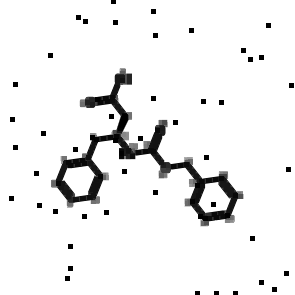 O=C(O)C[C@H](Cc1ccccc1)NC(=O)OCc1ccccc1